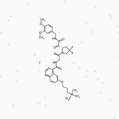 COc1ccc(CNC(=O)C(=O)[C@@H]2CC(F)(F)CN2C(=O)CNC(=O)c2ccnc3ccc(OCCC[N+](C)(C)C)cc23)cc1OC.[I-]